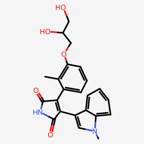 Cc1c(OCC(O)CO)cccc1C1=C(c2cn(C)c3ccccc23)C(=O)NC1=O